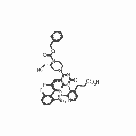 CC(C)c1nccc(CCC(=O)O)c1-n1c(=O)nc(N2CCN(C(=O)OCc3ccccc3)[C@@H](CC#N)C2)c2cc(F)c(-c3c(N)cccc3F)nc21